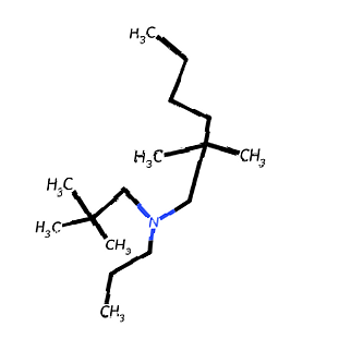 CCCCC(C)(C)CN(CCC)CC(C)(C)C